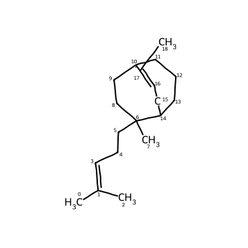 CC(C)=CCCC1(C)CC[C]2CCCC1CC=C2C